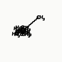 CCCCCCCCCCCCCCCCCC(=O)c1c(C(C)C(C)(C)C)[nH]c(CC(=O)O)c1C(C)C(C)(C)C